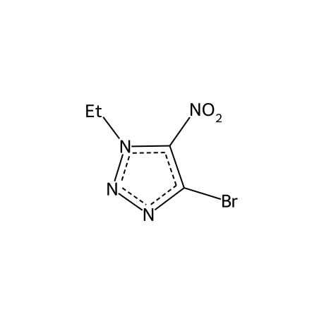 CCn1nnc(Br)c1[N+](=O)[O-]